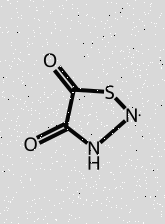 O=C1N[N]SC1=O